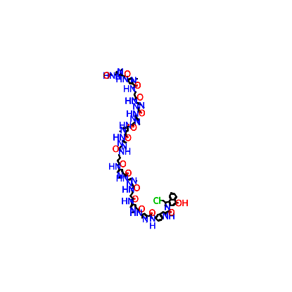 Cn1cc(NC(=O)c2nc(NC=O)cn2C)cc1C(=O)NCCC(=O)Nc1cn(C)c(C(=O)Nc2cn(C)c(C(=O)Nc3cc(C(=O)Nc4cn(C)c(C(=O)NCCCC(=O)Nc5cc(C(=O)Nc6cn(C)c(C(=O)NCCC(=O)Nc7cc(C(=O)Nc8cc(C(=O)Nc9ccc%10[nH]c(C(=O)N%11CC(CCl)c%12c%11cc(O)c%11ccccc%12%11)cc%10c9)n(C)c8)n(C)c7)n6)n(C)c5)n4)n(C)c3)n2)n1